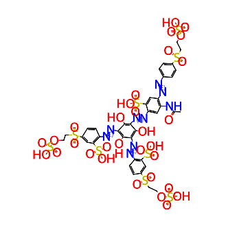 CC(=O)Nc1cc(/N=N/c2c(O)c(/N=N/c3ccc(S(=O)(=O)CCOS(=O)(=O)O)cc3S(=O)(=O)O)c(O)c(/N=N/c3ccc(S(=O)(=O)CCOS(=O)(=O)O)cc3S(=O)(=O)O)c2O)c(S(=O)(=O)O)cc1/N=N/c1ccc(S(=O)(=O)CCOS(=O)(=O)O)cc1